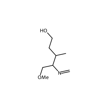 C=NC(COC)C(C)CCO